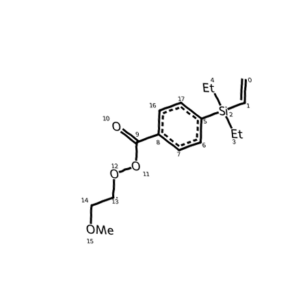 C=C[Si](CC)(CC)c1ccc(C(=O)OO[CH]COC)cc1